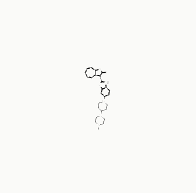 CN1CCN(C2CCN(c3ccc4[nH]c(-c5c6cccccc-6[nH]c5=O)nc4c3)CC2)CC1